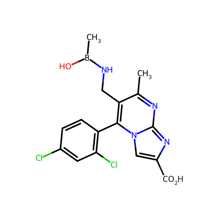 CB(O)NCc1c(C)nc2nc(C(=O)O)cn2c1-c1ccc(Cl)cc1Cl